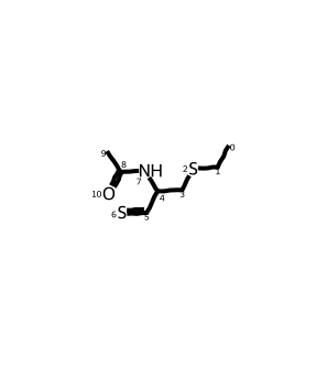 CCSCC(C=S)NC(C)=O